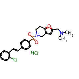 CN(C)Cc1cc2c(o1)CCN(S(=O)(=O)c1ccc(C=Cc3ccccc3Cl)cc1)C2.Cl